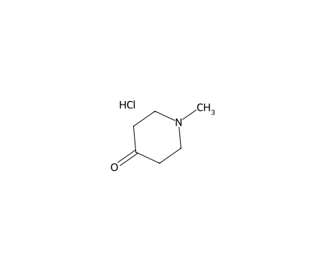 CN1CCC(=O)CC1.Cl